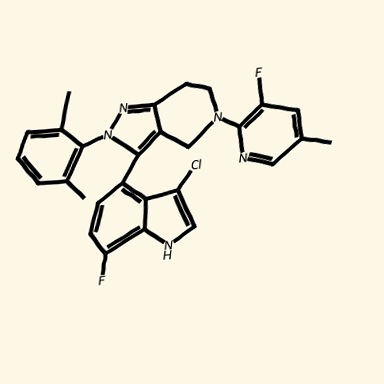 Cc1cnc(N2CCc3nn(-c4c(C)cccc4C)c(-c4ccc(F)c5[nH]cc(Cl)c45)c3C2)c(F)c1